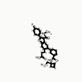 CCC1(NC(=O)c2cccc(-c3cc4c(C(=O)NC)c(-c5ccc(F)cc5)oc4cc3CCC(=O)O)c2)C=CC1